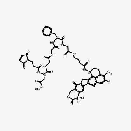 CC[C@@]1(O)C(=O)OCc2c1cc1n(c2=O)Cc2c-1nc1cc(F)c(C)c3c1c2[C@@H](NC(=O)CCCNC(=O)CNC(=O)[C@H](Cc1ccccc1)NC(=O)CNC(=O)CNC(=O)[C@H](CC(=O)OC(C)(C)C)NC(=O)CCN1C(=O)C=CC1=O)CC3